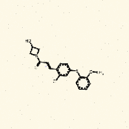 COc1ccccc1Sc1ccc(/C=C/C(=O)N2CC(O)C2)c(Cl)c1